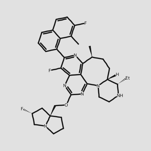 CC[C@@H]1NCCN2c3nc(OC[C@@]45CCCN4C[C@H](F)C5)nc4c(F)c(-c5cccc6ccc(F)c(C)c56)nc(c34)[C@@H](C)CC[C@H]12